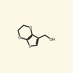 OCc1csc2c1OCCO2